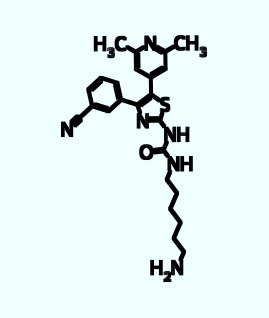 Cc1cc(-c2sc(NC(=O)NCCCCCCN)nc2-c2cccc(C#N)c2)cc(C)n1